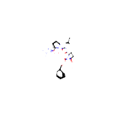 CC(C)C[C@H](NC(=O)[C@@H]1CCC(=O)N1C(=O)OCc1ccccc1)C(=O)N1CCC[C@@H]1C(N)=O